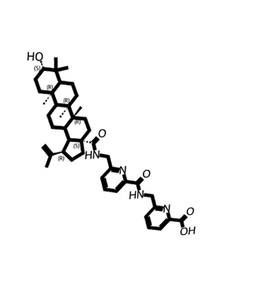 C=C(C)[C@@H]1CC[C@]2(C(=O)NCc3cccc(C(=O)NCc4cccc(C(=O)O)n4)n3)CC[C@]3(C)C(CCC4[C@@]5(C)CC[C@H](O)C(C)(C)C5CC[C@]43C)C12